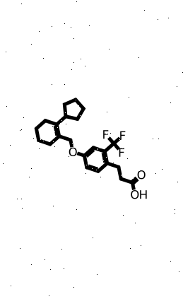 O=C(O)CCc1ccc(OCC2=C(C3CCCC3)CCCC2)cc1C(F)(F)F